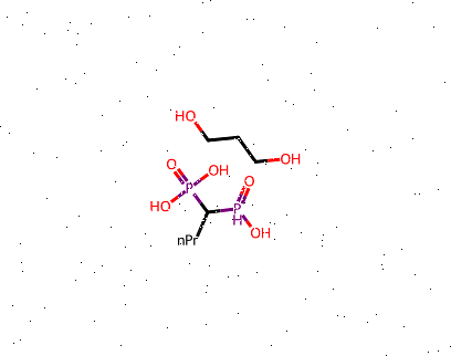 CCCC([PH](=O)O)P(=O)(O)O.OCCCO